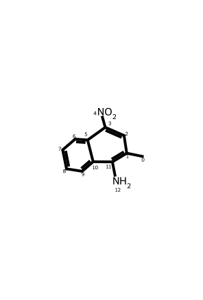 Cc1cc([N+](=O)[O-])c2ccccc2c1N